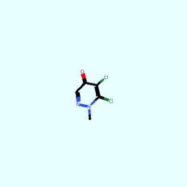 Cn1ncc(=O)c(Cl)c1Cl